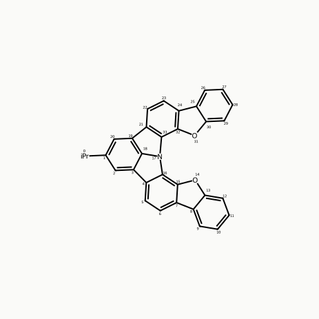 CC(C)c1cc2c3ccc4c5ccccc5oc4c3n3c2c(c1)c1ccc2c4ccccc4oc2c13